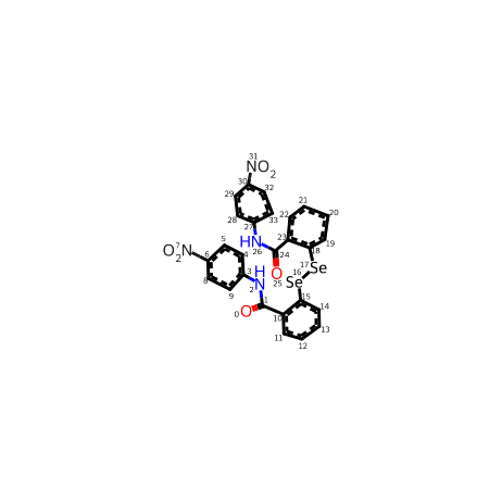 O=C(Nc1ccc([N+](=O)[O-])cc1)c1ccccc1[Se][Se]c1ccccc1C(=O)Nc1ccc([N+](=O)[O-])cc1